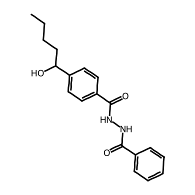 CCCCC(O)c1ccc(C(=O)NNC(=O)c2ccccc2)cc1